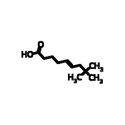 CC(C)(C)C/C=C/CCCC(=O)O